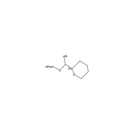 CCCCCOC(CCC)[SiH]1CCCCO1